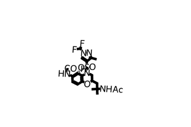 CC(=O)NC(C)(C)CC1CN(S(=O)(=O)c2cn(C(F)F)nc2C)c2cc(NC(=O)O)ccc2O1